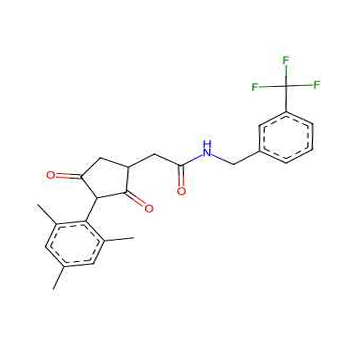 Cc1cc(C)c(C2C(=O)CC(CC(=O)NCc3cccc(C(F)(F)F)c3)C2=O)c(C)c1